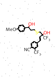 COc1ccc(C(O)CCSCC(O)(/C=C/c2ccc(C#N)c(C(F)(F)F)c2)C(F)(F)F)cc1